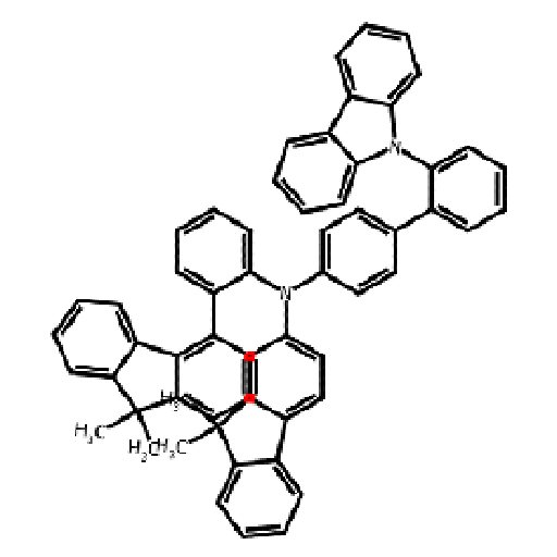 CC1(C)c2ccccc2-c2ccc(N(c3ccc(-c4ccccc4-n4c5ccccc5c5ccccc54)cc3)c3ccccc3-c3cccc4c3-c3ccccc3C4(C)C)cc21